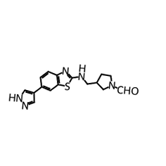 O=CN1CCC(CNc2nc3ccc(-c4cn[nH]c4)cc3s2)C1